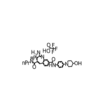 CCCN(CCC)C(=O)C1=Cc2ccc(C(=O)Nc3ccc(N4CCC(O)CC4)cc3)cc2N=C(N)C1.O=C(O)C(F)(F)F